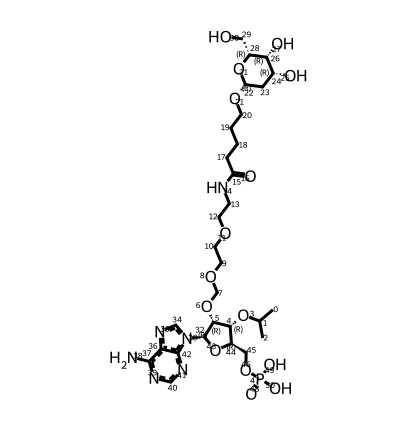 CC(C)O[C@H]1[C@@H](OCOCCOCCNC(=O)CCCCO[C@H]2C[C@@H](O)[C@@H](O)[C@@H](CO)O2)[C@H](n2cnc3c(N)ncnc32)O[C@@H]1COP(=O)(O)O